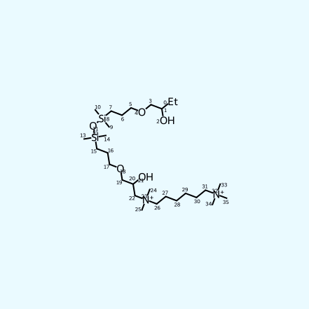 CCC(O)COCCC[Si](C)(C)O[Si](C)(C)CCCOCC(O)C[N+](C)(C)CCCCCC[N+](C)(C)C